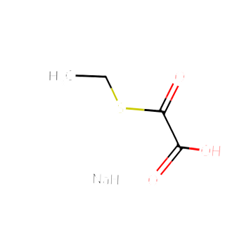 CCSC(=O)C(=O)O.[NaH]